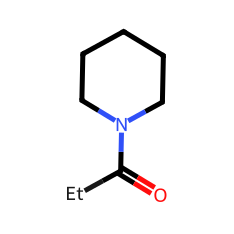 [CH2]CC(=O)N1CCCCC1